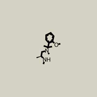 CN[C@@H](C)CN(C)C(C)(C)c1ccccc1OC